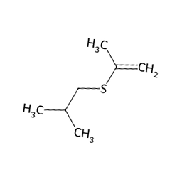 C=C(C)SCC(C)C